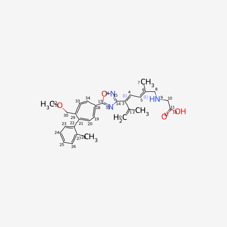 C=C(C)/C(=C\C=C(/C)CNCC(=O)O)c1noc(C2=CC=C(c3ccccc3C)C(COC)=C=C2)n1